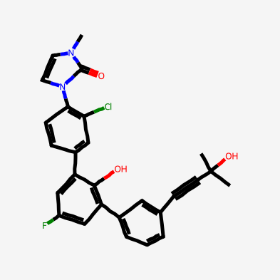 Cn1ccn(-c2ccc(-c3cc(F)cc(-c4cccc(C#CC(C)(C)O)c4)c3O)cc2Cl)c1=O